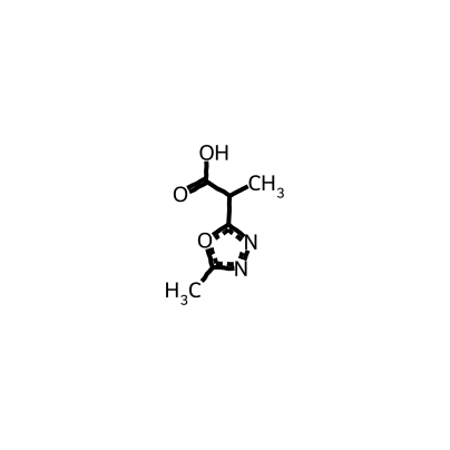 Cc1nnc(C(C)C(=O)O)o1